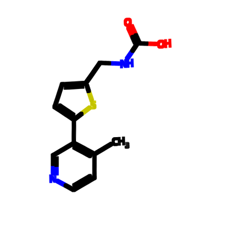 Cc1ccncc1-c1ccc(CNC(=O)O)s1